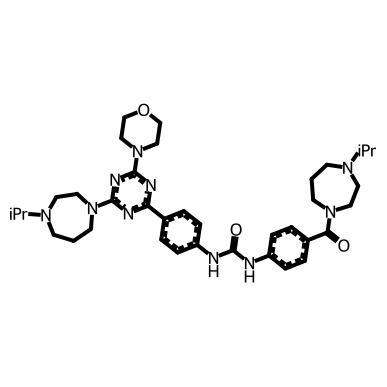 CC(C)N1CCCN(C(=O)c2ccc(NC(=O)Nc3ccc(-c4nc(N5CCOCC5)nc(N5CCCN(C(C)C)CC5)n4)cc3)cc2)CC1